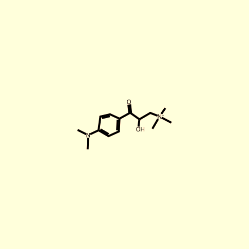 CN(C)c1ccc(C(=O)C(O)C[N+](C)(C)C)cc1